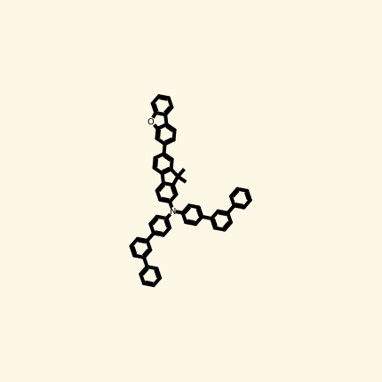 CC1(C)c2cc(-c3ccc4c(c3)oc3ccccc34)ccc2-c2ccc(N(c3ccc(-c4cccc(-c5ccccc5)c4)cc3)c3ccc(-c4cccc(-c5ccccc5)c4)cc3)cc21